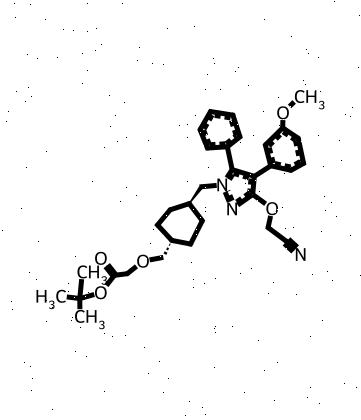 COc1cccc(-c2c(OCC#N)nn(C[C@H]3CC[C@H](COCC(=O)OC(C)(C)C)CC3)c2-c2ccccc2)c1